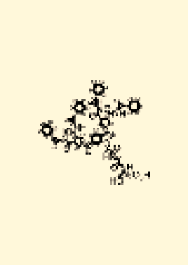 O=C(COc1cc(C(=O)N2C[C@@H](C(=O)N[C@H]3C[C@@H]3c3ccccc3)[C@H](C(=O)N[C@H]3C[C@@H]3c3ccccc3)C2)ccc1C(=O)N1C[C@@H](C(=O)N[C@H]2C[C@@H]2c2ccccc2)[C@H](C(=O)N[C@H]2C[C@@H]2c2ccccc2)C1)NCC(=O)N[C@@H](CO)C(=O)O